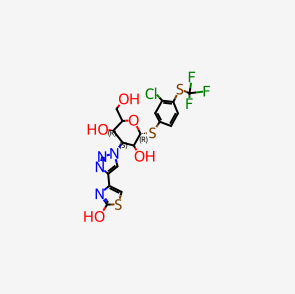 OCC1O[C@H](Sc2ccc(SC(F)(F)F)c(Cl)c2)C(O)[C@@H](n2cc(-c3csc(O)n3)nn2)[C@H]1O